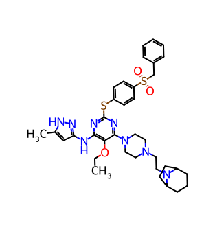 CCOc1c(Nc2cc(C)[nH]n2)nc(Sc2ccc(S(=O)(=O)Cc3ccccc3)cc2)nc1N1CCN(CCN2C3CCCC2CC3)CC1